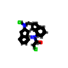 CC(=O)N(Cl)C1Cc2ccccc2C1.O=C(CCl)Nc1cccc2c1CCC2